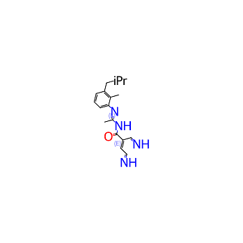 C/C(=N\c1cccc(CC(C)C)c1C)NC(=O)/C(C=N)=C/C=N